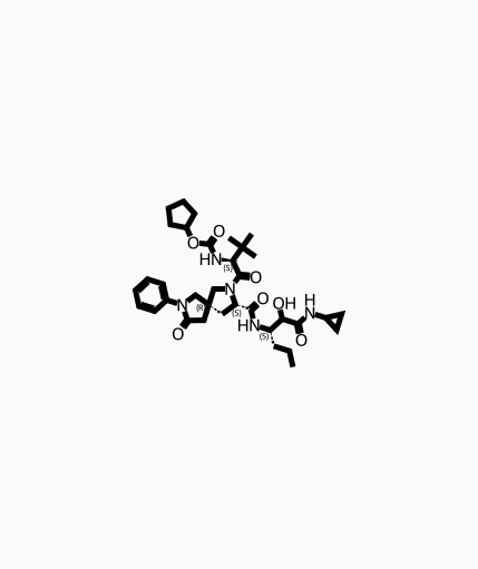 CCC[C@H](NC(=O)[C@@H]1C[C@@]2(CC(=O)N(c3ccccc3)C2)CN1C(=O)[C@@H](NC(=O)OC1CCCC1)C(C)(C)C)C(O)C(=O)NC1CC1